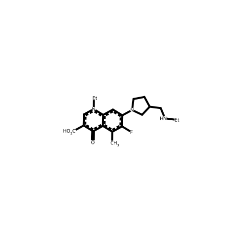 CCNCC1CCN(c2cc3c(c(C)c2F)c(=O)c(C(=O)O)cn3CC)C1